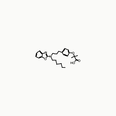 CCCCCCN(CCCc1ccc(OC(C)(C)C(=O)O)cc1)c1nc2ccccc2o1